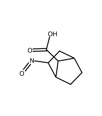 O=NC1CC2CCC1C2C(=O)O